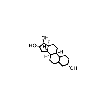 C[C@]12CC[C@H]3[C@@H](CCC4C[C@@H](O)CC[C@@]43C)[C@@H]1C[C@H](O)[C@H]2O